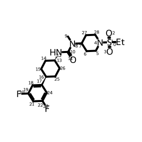 CCS(=O)(=O)N1CCC(N(C)C(=O)N[C@H]2CC[C@H](c3cc(F)cc(F)c3)CC2)CC1